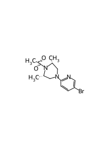 C[C@@H]1CN(c2ccc(Br)cn2)C[C@H](C)N1S(C)(=O)=O